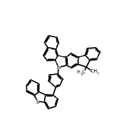 CC1(C)c2ccccc2-c2cc3c4c5ccccc5ccc4n(-c4ccc(-c5cccc6sc7ccccc7c56)cc4)c3cc21